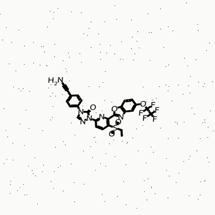 CCS(=O)(=O)c1ccc(-n2ncn(-c3ccc(C#CN)cc3)c2=O)nc1-c1nc2cc(OC(F)(F)C(F)(F)F)ccc2o1